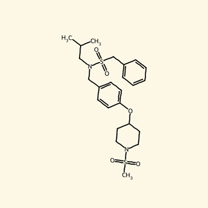 CC(C)CN(Cc1ccc(OC2CCN(S(C)(=O)=O)CC2)cc1)S(=O)(=O)Cc1ccccc1